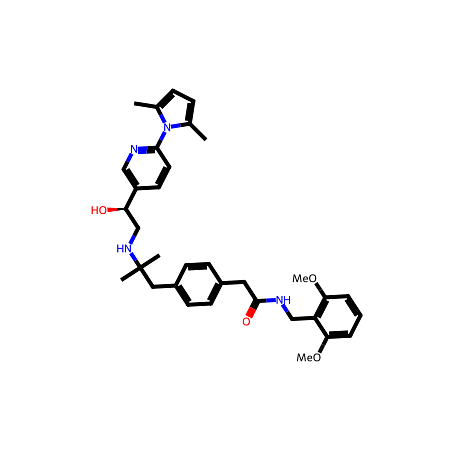 COc1cccc(OC)c1CNC(=O)Cc1ccc(CC(C)(C)NC[C@@H](O)c2ccc(-n3c(C)ccc3C)nc2)cc1